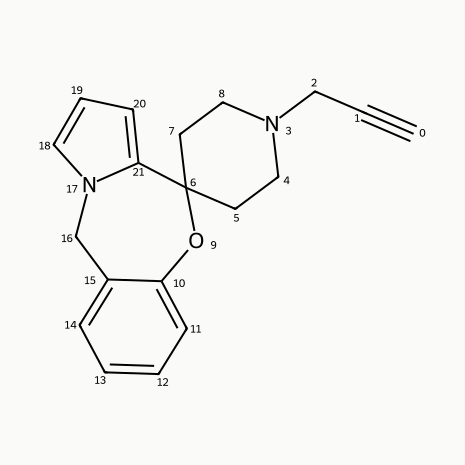 C#CCN1CCC2(CC1)Oc1ccccc1Cn1cccc12